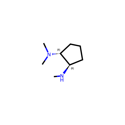 CN[C@@H]1CCC[C@H]1N(C)C